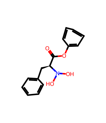 O=C(Oc1ccccc1)[C@H](Cc1ccccc1)N(O)O